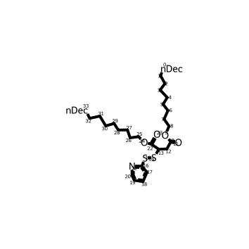 CCCCCCCCCCCCCCCCCCOC(=O)CC(SSc1ccccn1)C(=O)OCCCCCCCCCCCCCCCCCC